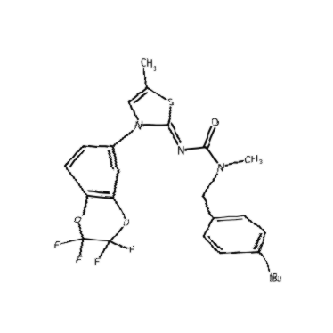 Cc1cn(-c2ccc3c(c2)OC(F)(F)C(F)(F)O3)c(=NC(=O)N(C)Cc2ccc(C(C)(C)C)cc2)s1